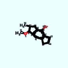 COC1c2cc3c(c(Br)c2CC1C)CCC3